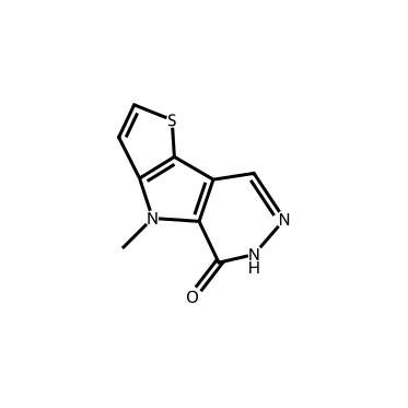 Cn1c2ccsc2c2cn[nH]c(=O)c21